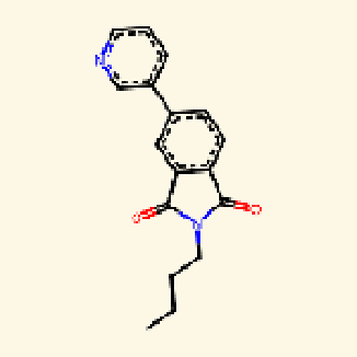 CCCCN1C(=O)c2ccc(-c3cccnc3)cc2C1=O